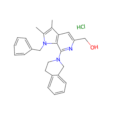 Cc1c(C)n(Cc2ccccc2)c2c(N3CCc4ccccc4C3)nc(CO)cc12.Cl